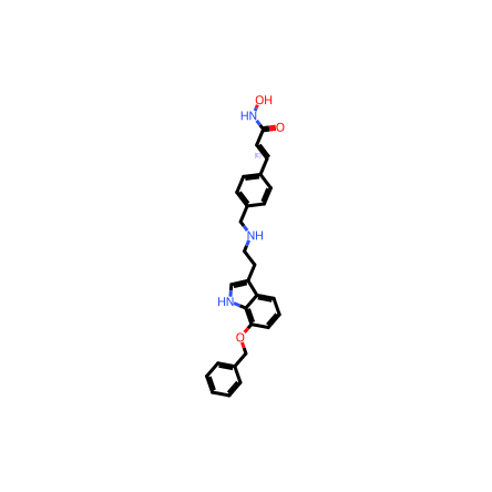 O=C(/C=C/c1ccc(CNCCc2c[nH]c3c(OCc4ccccc4)cccc23)cc1)NO